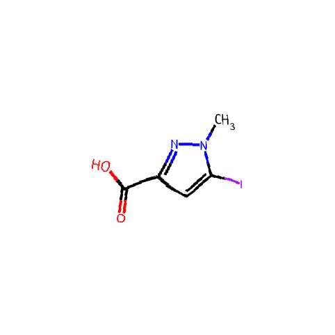 Cn1nc(C(=O)O)cc1I